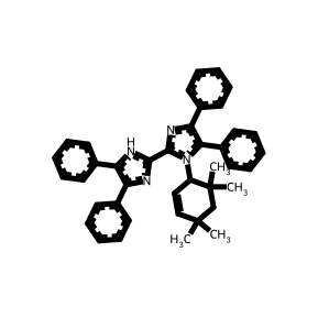 CC1(C)C=CC(n2c(-c3nc(-c4ccccc4)c(-c4ccccc4)[nH]3)nc(-c3ccccc3)c2-c2ccccc2)C(C)(C)C1